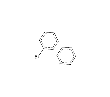 [CH2]Cc1ccccc1.[c]1ccccc1